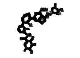 COc1nc(-c2cccc(-c3cccc(NC(=O)c4cn(C)c(=O)n(C)c4=O)c3C)c2Cl)cc2c1[C@@H](NC[C@@H]1CNC(=O)N1)CC2